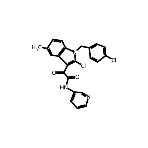 Cc1ccc2c(c1)c(C(=O)C(=O)Nc1cccnc1)c(Cl)n2Cc1ccc(Cl)cc1